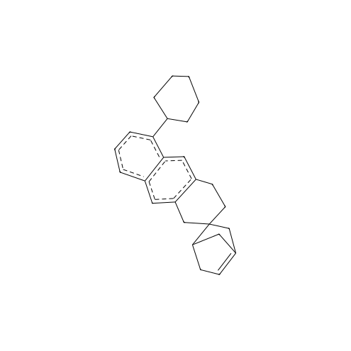 C1=C2CC(C1)C1(CCc3cc4c(C5CCCCC5)cccc4cc3C1)C2